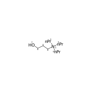 CCC[N+](CCC)(CCC)CCCO